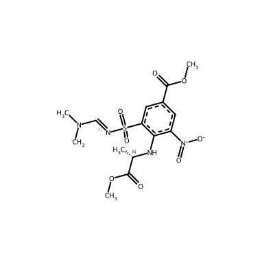 COC(=O)c1cc([N+](=O)[O-])c(N[C@@H](C)C(=O)OC)c(S(=O)(=O)/N=C/N(C)C)c1